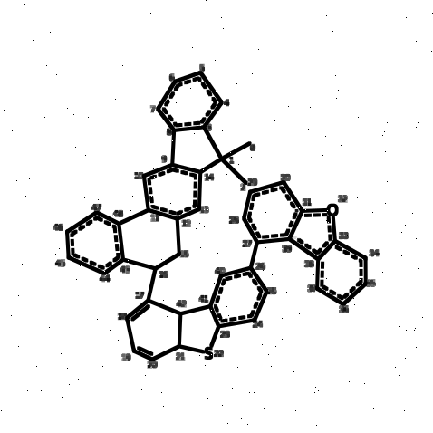 CC1(C)c2ccccc2-c2cc3c(cc21)CC(C1=CC=CC2Sc4ccc(-c5cccc6oc7ccccc7c56)cc4C12)c1ccccc1-3